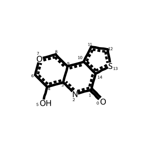 O=c1nc2c(O)cocc-2c2ccsc12